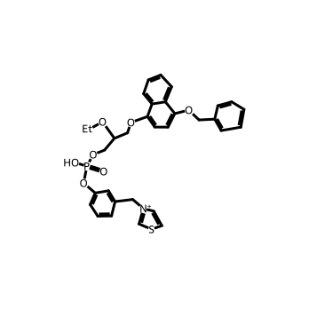 CCOC(COc1ccc(OCc2ccccc2)c2ccccc12)COP(=O)(O)Oc1cccc(C[n+]2ccsc2)c1